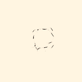 Sc1c(S)c2c(S)c3nc(cc4ccc(cc5nc(cc1n2S)C=C5)[nH]4)C=C3